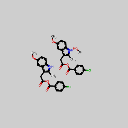 COc1ccc2[nH]c(C)c(CC(=O)OC(=O)c3ccc(Cl)cc3)c2c1.COc1ccc2[nH]c(C)c(CC(=O)OC(=O)c3ccc(Cl)cc3)c2c1.[OH][Al]